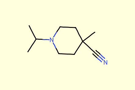 CC(C)N1CCC(C)(C#N)CC1